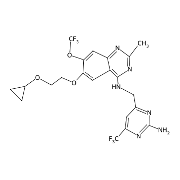 Cc1nc(NCc2cc(C(F)(F)F)nc(N)n2)c2cc(OCCOC3CC3)c(OC(F)(F)F)cc2n1